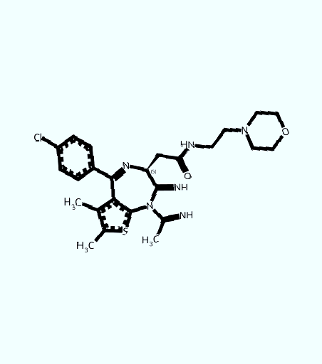 CC(=N)N1C(=N)[C@H](CC(=O)NCCN2CCOCC2)N=C(c2ccc(Cl)cc2)c2c1sc(C)c2C